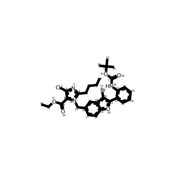 CCCCc1nc(Cl)c(C(=O)OCC)n1Cc1ccc2oc(-c3ccccc3NC(=O)OC(C)(C)C)c(Br)c2c1